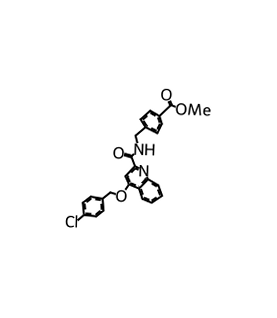 COC(=O)c1ccc(CNC(=O)c2cc(OCc3ccc(Cl)cc3)c3ccccc3n2)cc1